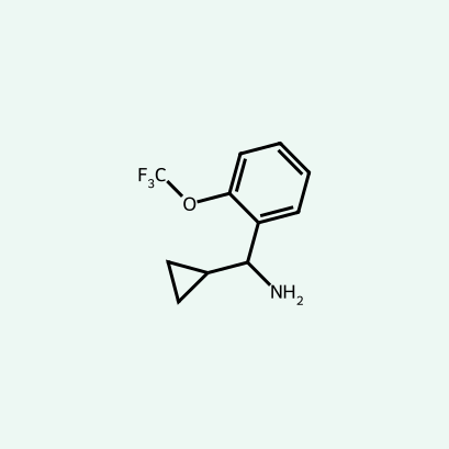 NC(c1ccccc1OC(F)(F)F)C1CC1